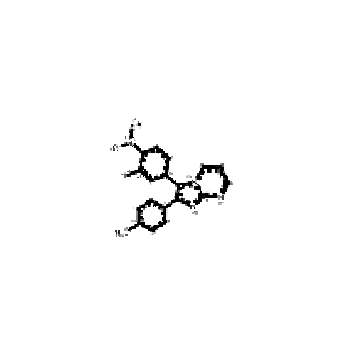 CCC[S+]([O-])c1ccc(-c2c(-c3ccc(C)cc3)nc3ncccn23)cc1Cl